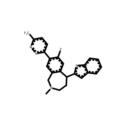 CN1CCC(c2cc3ccccc3s2)c2cc(F)c(-c3ccc(C(F)(F)F)nn3)cc2C1